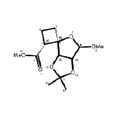 COC(=O)[C@@H]1CC[C@@]12OC(OC)C1OC(C)(C)OC12